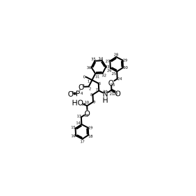 CC(COP=O)(CC(CCC(O)OCc1ccccc1)NC(=O)OCc1ccccc1)c1ccccc1